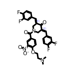 CN(C)CCOc1ccc(C(=O)N2C/C(=C\c3ccc(F)c(F)c3)C(=O)/C(=C/c3ccc(F)c(F)c3)C2)cc1[N+](=O)[O-]